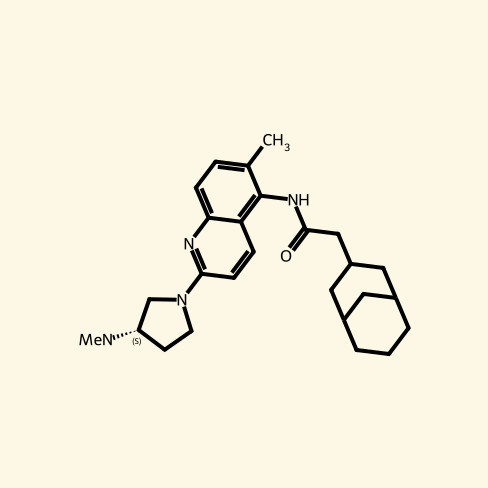 CN[C@H]1CCN(c2ccc3c(NC(=O)CC4CC5CCCC(C5)C4)c(C)ccc3n2)C1